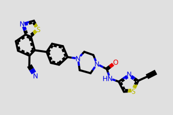 C#Cc1nc(NC(=O)N2CCN(c3ccc(-c4c(C#N)ccc5ncsc45)cc3)CC2)cs1